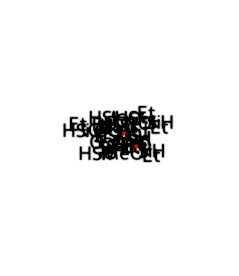 CC[SiH](C)O[SiH](CC)O[SiH](CC)[SiH]1O[SiH](C)O[Si]2(CC)O[Si](C)(O[SiH](C)CC)O[SiH]3O[Si](C)(O[SiH]3C)O[Si](O[SiH](O[Si](C)(CC)O[SiH](CC)OC)[Si](C)(C)CC)(O1)O2